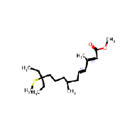 CCC(CC)(CCCC(C)C/C=C/C(C)=C/C(=O)OC)SC